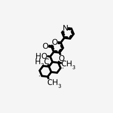 CC1[CH]CCC2(C)C1C[CH]C1(C)Oc3cc(-c4cccnc4)oc(=O)c3C(O)C12